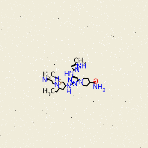 CCCSCC(CC(CC)NCCC#N)Nc1nc(Nc2cc(C)[nH]n2)cc(N2CCC(C(N)=O)CC2)n1